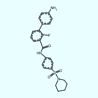 Nc1ccc(-c2cccc(C(=O)Nc3ccc(S(=O)(=O)N4CCCCC4)cc3)c2F)cc1